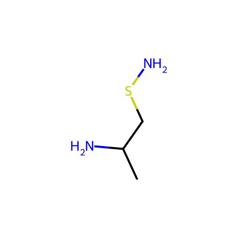 CC(N)CSN